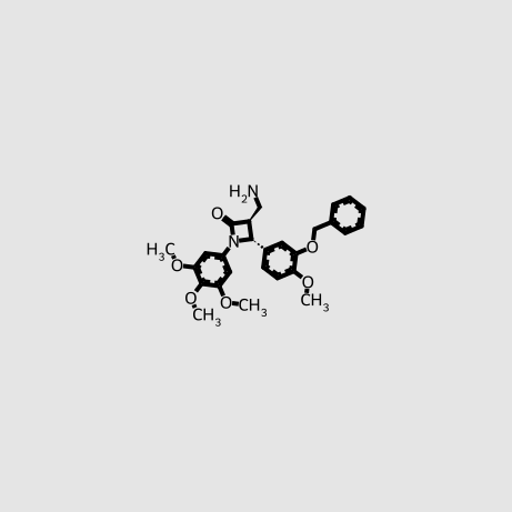 COc1ccc([C@H]2[C@H](CN)C(=O)N2c2cc(OC)c(OC)c(OC)c2)cc1OCc1ccccc1